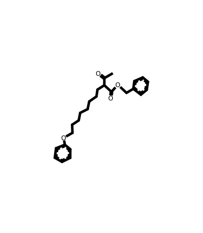 CC(=O)C(CCCCCCCCOc1ccccc1)C(=O)OCc1ccccc1